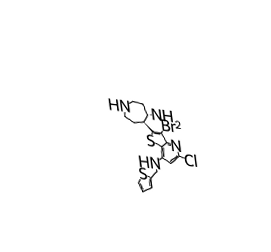 N[C@H]1CCNCC[C@@H]1c1sc2c(NCc3cccs3)cc(Cl)nc2c1Br